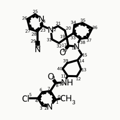 Cc1ncc(Cl)cc1C(=O)NC1CCC(CN2C(=O)C3(CCN(c4ncccc4C#N)CC3)c3ccccc32)CC1